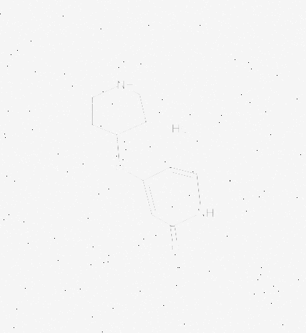 Cl.O=c1cc(OC2CCNCC2)cc[nH]1